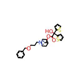 O=C(OC1C[N+]2(CCCOCc3ccccc3)CCC1CC2)C(O)(c1cccs1)c1cccs1